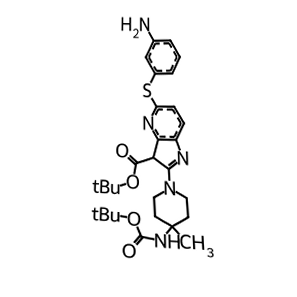 CC1(NC(=O)OC(C)(C)C)CCN(C2=Nc3ccc(Sc4cccc(N)c4)nc3C2C(=O)OC(C)(C)C)CC1